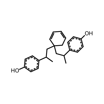 CC(CC1(CC(C)c2ccc(O)cc2)C=CC=CC1)c1ccc(O)cc1